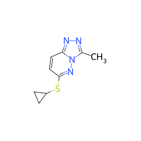 Cc1nnc2ccc(SC3CC3)nn12